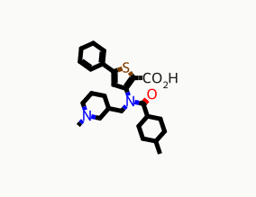 CC1CCC(C(=O)N(CC2CCCN(C)C2)c2cc(C3=CCCC=C3)sc2C(=O)O)CC1